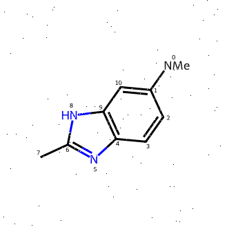 CNc1ccc2nc(C)[nH]c2c1